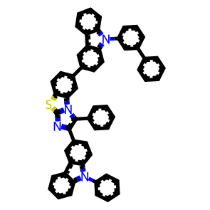 c1ccc(-c2cccc(-n3c4ccccc4c4cc(-c5ccc6sc7nc(-c8ccc9c(c8)c8ccccc8n9-c8ccccc8)c(-c8ccccc8)n7c6c5)ccc43)c2)cc1